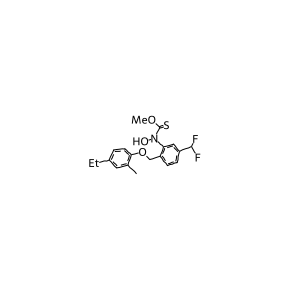 CCc1ccc(OCc2ccc(C(F)F)cc2N(O)C(=S)OC)c(C)c1